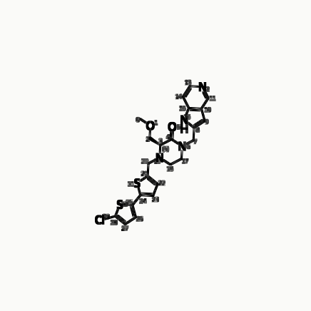 COC[C@H]1C(=O)N(Cc2cc3cnccc3[nH]2)CCN1Cc1ccc(-c2ccc(Cl)s2)s1